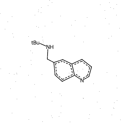 CC(C)(C)NCc1ccc2ncccc2c1